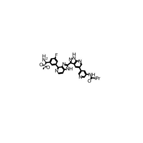 CC(C)C(=O)Nc1cncc(-c2cnc3[nH]nc(-c4nc5c(-c6cc(F)cc(C(N)S(C)(=O)=O)c6)nccc5[nH]4)c3c2)c1